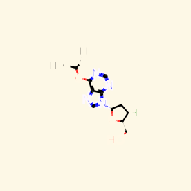 CC(C)Oc1ncnc2c1ncn2[C@H]1C[C@H](F)[C@@H](CO)O1